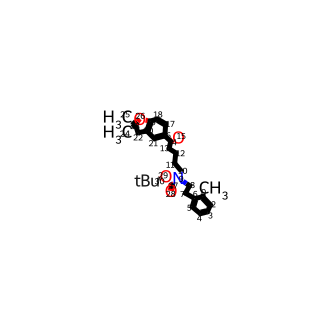 Cc1ccccc1CCN(CCCCC(=O)c1ccc2c(c1)CC(C)(C)O2)C(=O)OC(C)(C)C